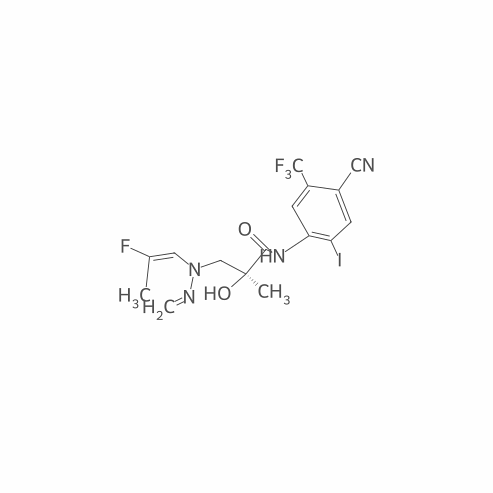 C=NN(/C=C(\C)F)C[C@](C)(O)C(=O)Nc1cc(C(F)(F)F)c(C#N)cc1I